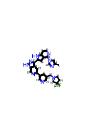 Cc1cn(-c2nccc3[nH]c(-c4n[nH]c5cnc(-c6cncc(CN7CCC(F)(F)C7)c6)cc45)cc23)cn1